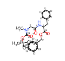 CN(CC(=O)NC(Cc1ccccc1)C(=O)OCc1ccccc1)C(=O)OC(C)(C)C